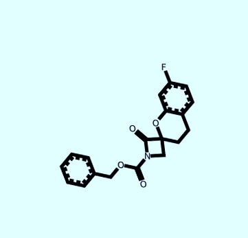 O=C(OCc1ccccc1)N1CC2(CCc3ccc(F)cc3O2)C1=O